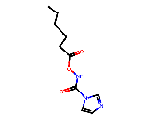 CCCCCC(=O)ONC(=O)n1ccnc1